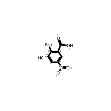 Cl.O=C(O)c1cc([N+](=O)[O-])ccc1Br